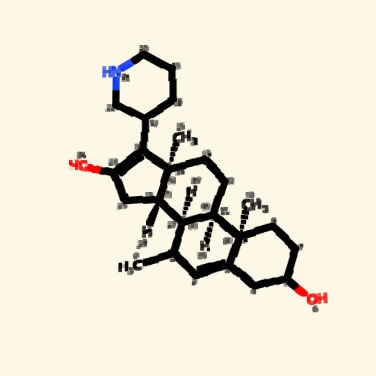 CC1C=C2CC(O)CC[C@]2(C)[C@@H]2CC[C@]3(C)C(C4CCCNC4)=C(O)C[C@H]3[C@H]12